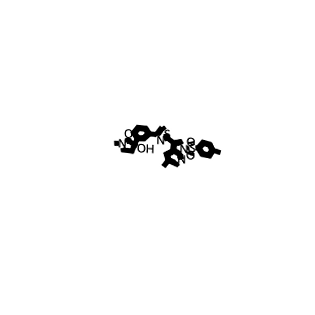 Cc1ccc(S(=O)(=O)n2cc(-c3nc(-c4cccc(C5(O)CCN(C)C5=O)c4)cs3)c3cc(C)cnc32)cc1